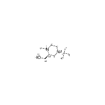 CN1CCN(C(C)(C)C)C[C@H]1CO